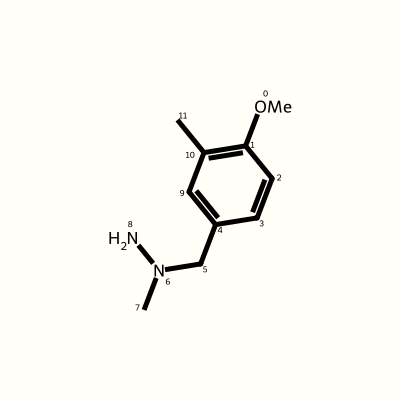 COc1ccc(CN(C)N)cc1C